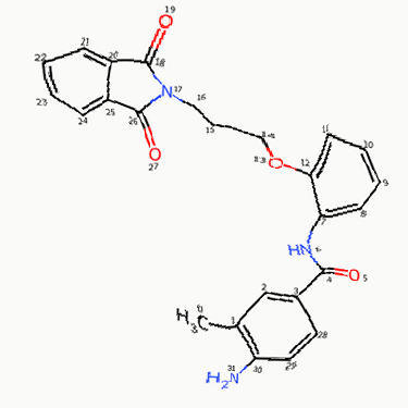 Cc1cc(C(=O)Nc2ccccc2OCCCN2C(=O)c3ccccc3C2=O)ccc1N